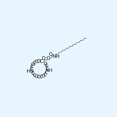 CCCCCCCCCCCCCCCCCCNC(=O)COCC(=O)C1COCCOCCNCCOCCOCCNCCO1